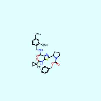 COc1ccc(CNC(=O)c2nc(C3CCCN3C(=O)OCc3ccccc3)sc2NC(=O)C2(C(F)(F)F)CC2)c(OC)c1